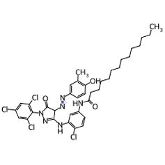 CCCCCCCCCCCCCC(=O)Nc1ccc(Cl)c(NC2=NN(c3c(Cl)cc(Cl)cc3Cl)C(=O)C2/N=N/c2ccc(O)c(C)c2)c1